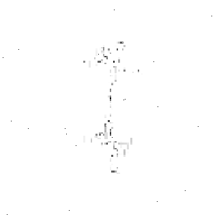 CC[C@H](NC)C(=O)N[C@@H](Cc1ccc(OCC#CC#CCOc2ccc(C[C@H](NC(=O)[C@H](CC)NC)C(=O)N3CC(C)(C)c4[nH]c(=O)c(Cc5ccc(F)cc5F)cc43)cc2)cc1)C(=O)N1CC(C)(C)c2[nH]c(=O)c(Cc3ccc(F)cc3F)cc21